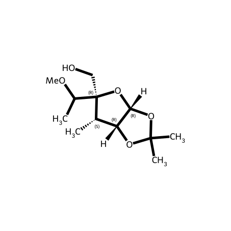 COC(C)[C@@]1(CO)O[C@@H]2OC(C)(C)O[C@@H]2[C@@H]1C